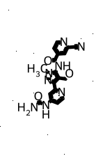 Cn1nc(-c2cc(NC(N)=O)ccn2)c(C=O)c1NC(=O)c1ccnc(C#N)c1